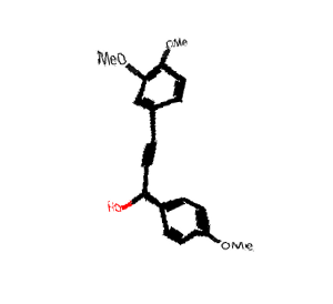 COc1ccc(C(O)C#Cc2ccc(OC)c(OC)c2)cc1